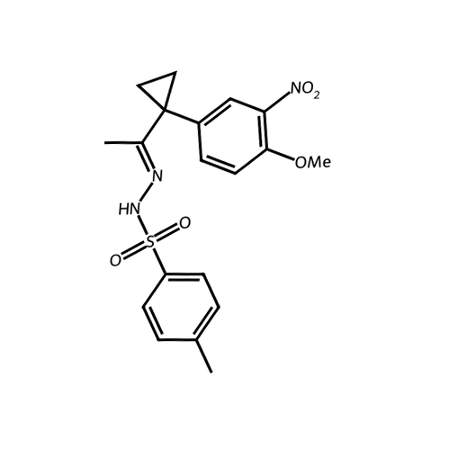 COc1ccc(C2(C(C)=NNS(=O)(=O)c3ccc(C)cc3)CC2)cc1[N+](=O)[O-]